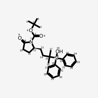 CC(C)(C)OC(=O)N1C(=O)CC[C@@H]1CCC(C)(C)[Si](O)(c1ccccc1)c1ccccc1